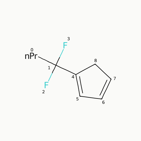 CCCC(F)(F)C1=CC=CC1